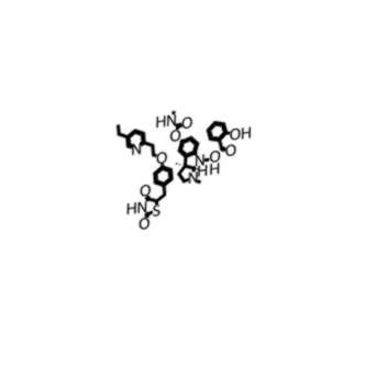 CCc1ccc(CCOc2ccc(CC3SC(=O)NC3=O)cc2)nc1.CNC(=O)Oc1ccc2c(c1)[C@]1(C)CCN(C)[C@@H]1N2C.O=C(O)c1ccccc1O